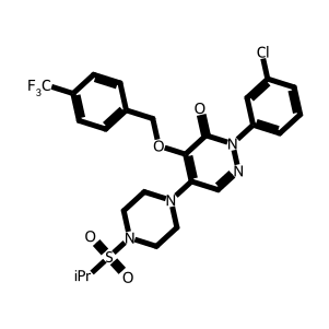 CC(C)S(=O)(=O)N1CCN(c2cnn(-c3cccc(Cl)c3)c(=O)c2OCc2ccc(C(F)(F)F)cc2)CC1